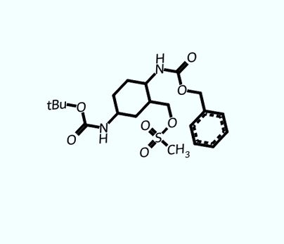 CC(C)(C)OC(=O)NC1CCC(NC(=O)OCc2ccccc2)C(COS(C)(=O)=O)C1